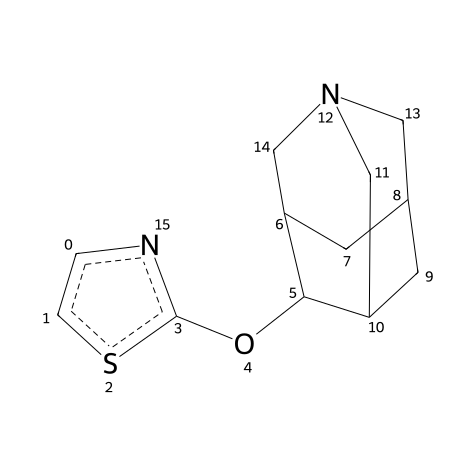 c1csc(OC2C3CC4CC2CN(C4)C3)n1